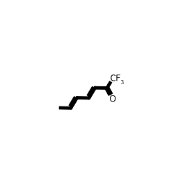 CC=CC=CC(=O)C(F)(F)F